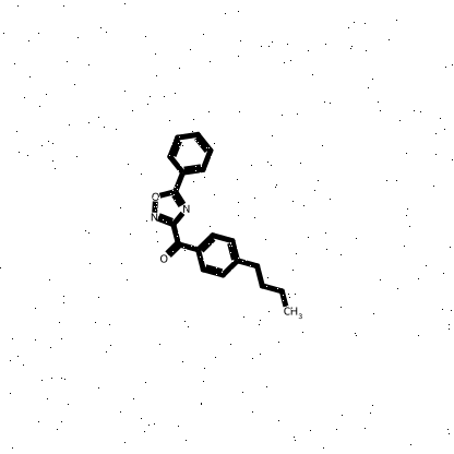 CCCCc1ccc(C(=O)c2noc(-c3ccccc3)n2)cc1